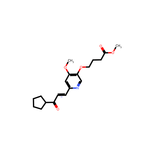 COC(=O)CCCOc1cnc(/C=C/C(=O)C2CCCC2)cc1OC